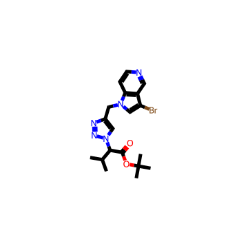 CC(C)C(C(=O)OC(C)(C)C)n1cc(Cn2cc(Br)c3cnccc32)nn1